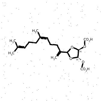 C=C(CCC=C(C)CCC=C(C)C)C1O[C@@H](OC(=O)O)[C@H](OC(=O)O)O1